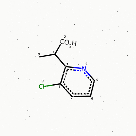 CC(C(=O)O)c1ncccc1Cl